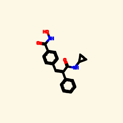 O=C(NC1CC1)/C(=C\c1ccc(C(=O)NO)cc1)c1ccccc1